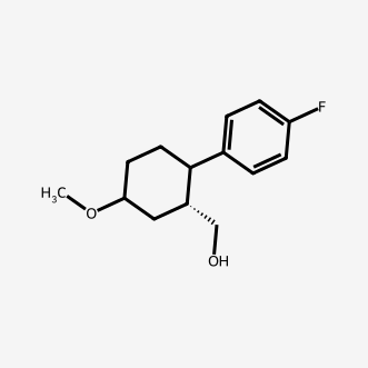 COC1CCC(c2ccc(F)cc2)[C@H](CO)C1